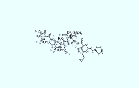 CCCC(=O)N(C)[C@H](SCCCN1CCOCC1)C(=O)N(C)[C@@H](CC(C)(C)O)C(=O)N[C@H](C(=O)N(C)[C@@H](CC(C)C)C(=O)N[C@@H](C)C(=O)N[C@H](C)C(=O)N(C)[C@@H](CC(C)C)C(=O)NC)C(C)C